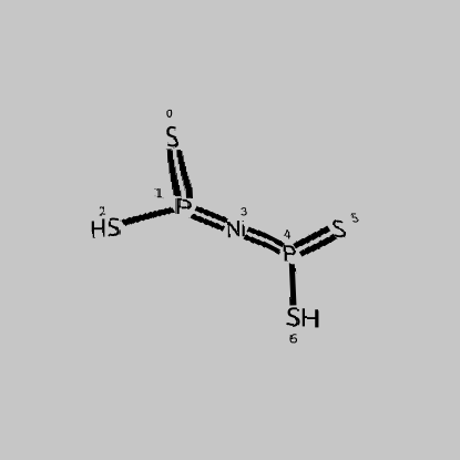 S=[P](S)=[Ni]=[P](=S)S